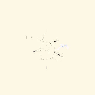 CC[C@H]1C[C@H]2C[C@@H]([C@@H]1N)C2(C)C